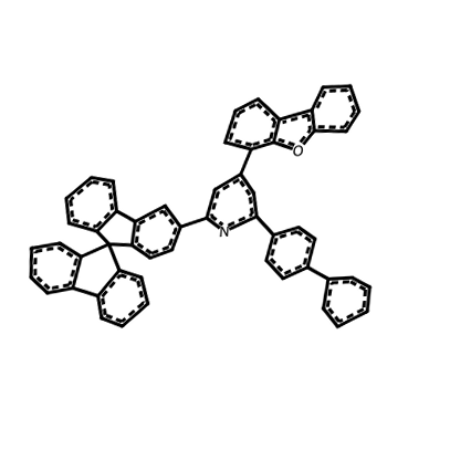 c1ccc(-c2ccc(-c3cc(-c4cccc5c4oc4ccccc45)cc(-c4ccc5c(c4)-c4ccccc4C54c5ccccc5-c5ccccc54)n3)cc2)cc1